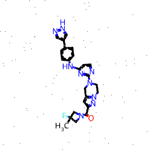 CC1(F)CN(C(=O)c2cc3n(n2)CCN(c2nccc(Nc4ccc(-c5cn[nH]c5)cc4)n2)C3)C1